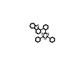 c1ccc(-c2nc(-c3ccccc3)nc(-c3ccccc3-c3cccc4c3sc3ccccc34)n2)cc1